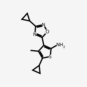 Cc1c(C2CC2)sc(N)c1-c1nc(C2CC2)no1